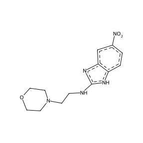 O=[N+]([O-])c1ccc2[nH]c(NCCN3CCOCC3)nc2c1